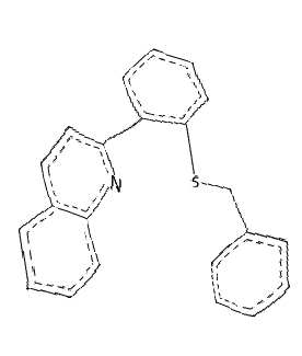 c1ccc(CSc2ccccc2-c2ccc3ccccc3n2)cc1